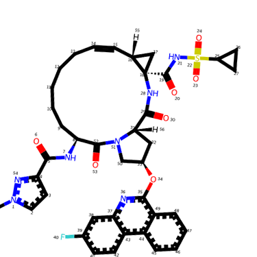 Cn1ccc(C(=O)N[C@H]2CCCCC/C=C\[C@@H]3C[C@@]3(C(=O)NS(=O)(=O)C3CC3)NC(=O)[C@@H]3C[C@@H](Oc4nc5cc(F)ccc5c5ccccc45)CN3C2=O)n1